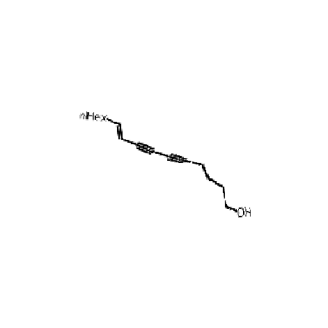 CCCCCCC=CC#CC#CCCCCO